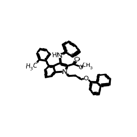 COC(=O)c1c(Nc2ccccc2)c2c(-c3ccccc3C)cccc2n1CCCOc1cccc2ccccc12